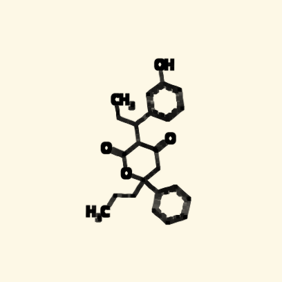 CCCC1(c2ccccc2)CC(=O)C(C(CC)c2cccc(O)c2)C(=O)O1